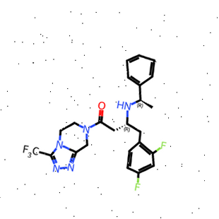 C[C@@H](N[C@@H](CC(=O)N1CCn2c(nnc2C(F)(F)F)C1)Cc1ccc(F)cc1F)c1ccccc1